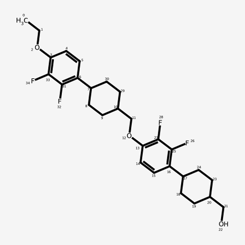 CCOc1ccc(C2CCC(COc3ccc(C4CCC(CO)CC4)c(F)c3F)CC2)c(F)c1F